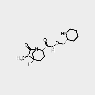 CN1C(=O)N2C[C@H]1CC[C@H]2C(=O)NOC[C@H]1CCCCN1